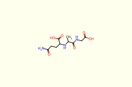 CC(NC(CCC(N)=O)C(=O)O)C(=O)NCC(=O)O